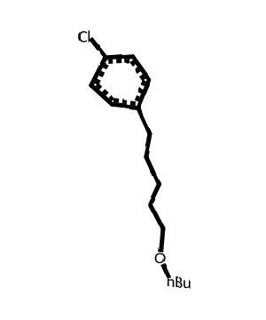 [CH2]CCCOCCCCCc1ccc(Cl)cc1